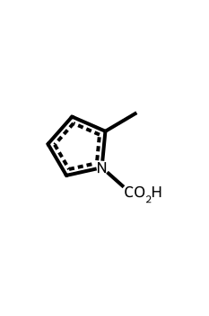 Cc1cccn1C(=O)O